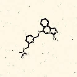 CS(=O)(=O)OCc1cccc(COc2cn3c(C(F)(F)F)nnc3c3ccccc23)n1